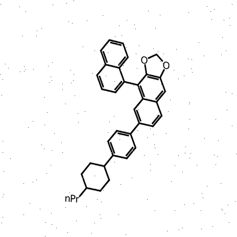 CCCC1CCC(c2ccc(-c3ccc4cc5c(c(-c6cccc7ccccc67)c4c3)OCO5)cc2)CC1